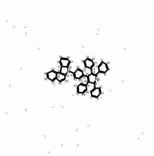 c1ccc(-c2nc(-c3ccccc3)c(-c3ccccc3)c(-c3ccc(-n4c5ccccc5c5c6ccccc6ccc54)cc3)c2-c2ccccc2)cc1